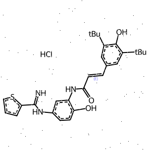 CC(C)(C)c1cc(/C=C/C(=O)Nc2cc(NC(=N)c3cccs3)ccc2O)cc(C(C)(C)C)c1O.Cl